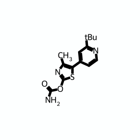 Cc1nc(OC(N)=O)sc1-c1ccnc(C(C)(C)C)c1